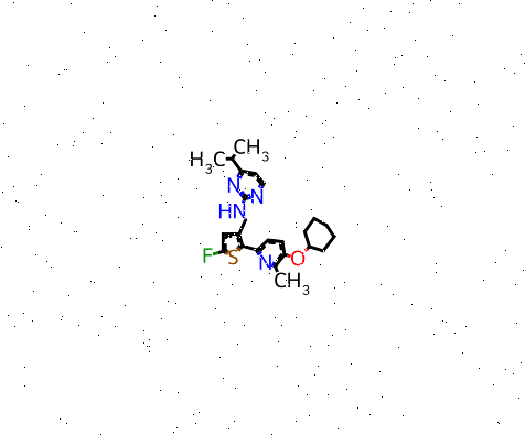 Cc1nc(-c2sc(F)cc2CNc2nccc(C(C)C)n2)ccc1OC1CCCCC1